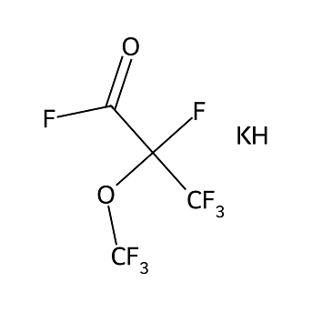 O=C(F)C(F)(OC(F)(F)F)C(F)(F)F.[KH]